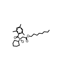 CCCCCCCCOC(=O)CP(=O)(C(=O)c1c(C)cc(C)cc1C)C1CCCCC1